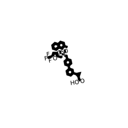 Cc1ccc2ccccc2c1S(=O)(=O)N(Cc1ccc(-c2cccc(C3CC3C(=O)O)c2)cc1)Cc1ccc(C(F)(F)F)o1